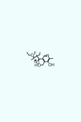 CCOP(C)(=O)C(F)(F)C(=O)c1cnc(C)c(O)c1CO